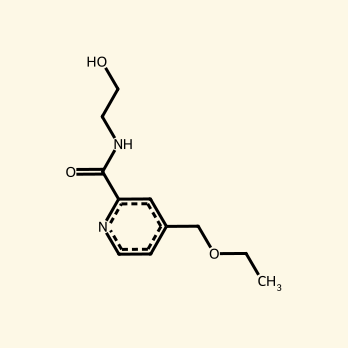 CCOCc1ccnc(C(=O)NCCO)c1